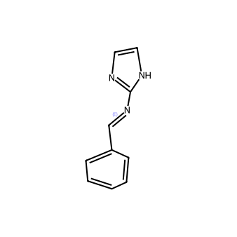 C(=N\c1ncc[nH]1)/c1ccccc1